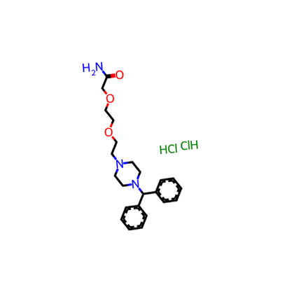 Cl.Cl.NC(=O)COCCOCCN1CCN(C(c2ccccc2)c2ccccc2)CC1